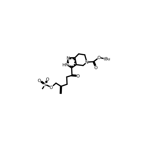 C=C(CCC(=O)c1[nH]nc2c1CN(C(=O)OC(C)(C)C)CC2)COS(C)(=O)=O